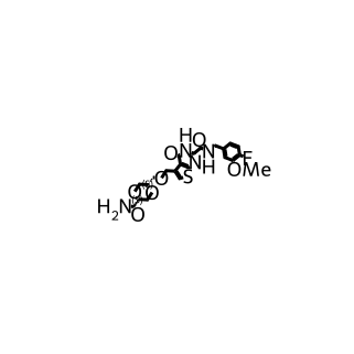 COc1cc(CNC(=O)c2nc3scc(COC[C@H]4CO[C@H](C(N)=O)CO4)c3c(=O)[nH]2)ccc1F